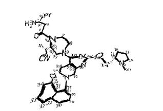 CC(C)[C@H](N)CC(=O)N1CCN(c2nc(OC[C@@H]3CCCN3C)nc3c2CCN(c2cccc4cccc(Cl)c24)C3)C[C@@H]1CC#N